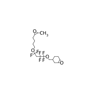 CC1OC1CCCCOC(F)(F)CC(F)(F)C(F)(F)OCC1CCC2OC2C1